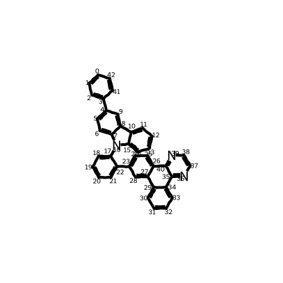 c1ccc(-c2ccc3c(c2)c2ccccc2n3-c2ccccc2-c2ccc3c(c2)c2ccccc2c2nccnc32)cc1